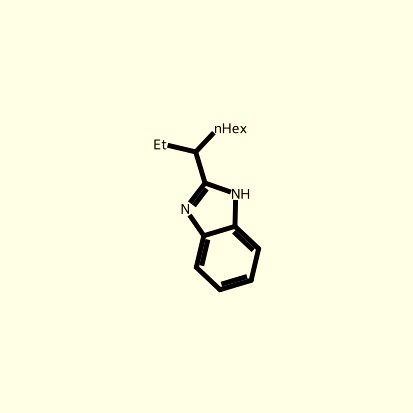 CCCCCCC(CC)c1nc2ccccc2[nH]1